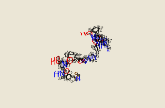 Cc1ncsc1-c1ccc([C@H](C)NC(=O)[C@@H]2C[C@@H](O)CN2COC[C@@H](c2cc(N3CCN(C[C@H]4C[C@H](Oc5cc(N6C7CCC6CN(c6cc(-c8ccccc8O)nnc6N)C7)ccn5)C4)CC3)no2)C(C)C)cc1